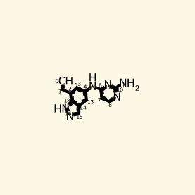 C=Cc1cc(Nc2ccnc(N)n2)cc2cn[nH]c12